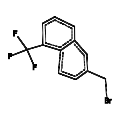 FC(F)(F)c1cccc2cc(CBr)ccc12